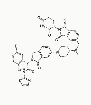 CN(Cc1ccc2c(c1)C(=O)N(C1CCC(=O)NC1=O)C2=O)C1CCN(c2ccc3c(c2)C(=O)N(C(C(=O)Nc2nccs2)c2cc(F)ccc2O)C3)CC1